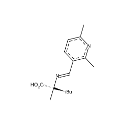 CC[C@H](C)[C@@](C)(N=Cc1ccc(C)nc1C)C(=O)O